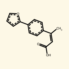 C/C(=C/C(=O)O)c1ccc(-c2ccco2)cc1